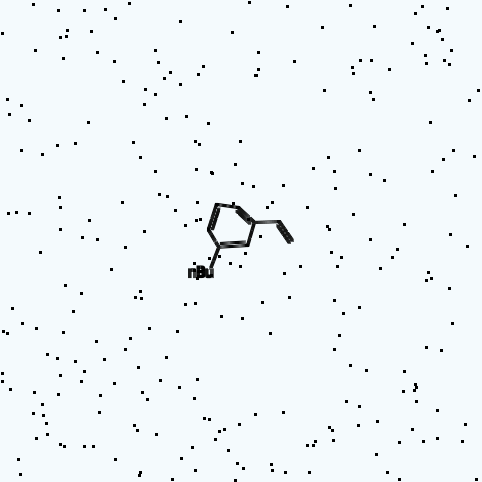 [CH2]CCCc1cccc(C=C)c1